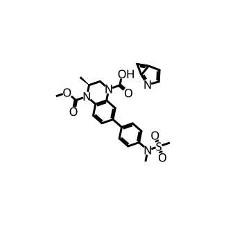 COC(=O)N1c2ccc(-c3ccc(N(C)S(C)(=O)=O)cc3)cc2N(C(=O)O)C[C@@H]1C.c1cc2cc-2n1